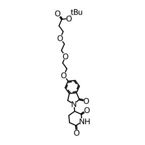 CC(C)(C)OC(=O)CCOCCOCCOc1ccc2c(c1)CN(C1CCC(=O)NC1=O)C2=O